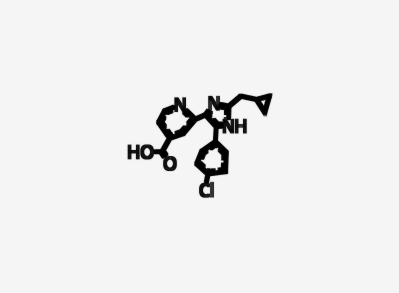 O=C(O)c1ccnc(-c2nc(CC3CC3)[nH]c2-c2ccc(Cl)cc2)c1